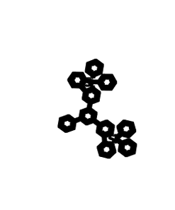 c1ccc(-c2cc(-c3ccc4c(c3)-c3ccccc3[Si]4(c3ccccc3)c3ccccc3)cc(-c3ccc4c(c3)-c3ccccc3[Si]4(c3ccccc3)c3ccccc3)c2)cc1